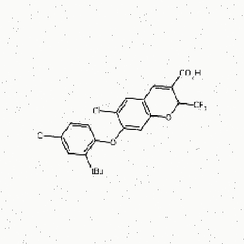 CC(C)(C)c1cc(Cl)ccc1Oc1cc2c(cc1Cl)C=C(C(=O)O)C(C(F)(F)F)O2